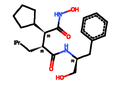 CC(C)C[C@@H](C(=O)N[C@H](CO)Cc1ccccc1)[C@@H](C(=O)NO)C1CCCC1